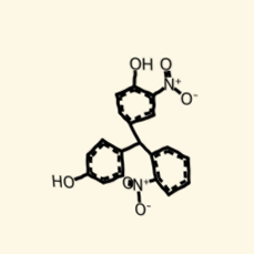 O=[N+]([O-])c1cc(C(c2ccc(O)cc2)c2ccccc2[N+](=O)[O-])ccc1O